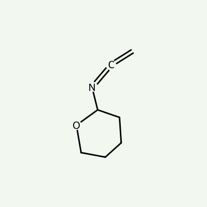 C=C=NC1CCCCO1